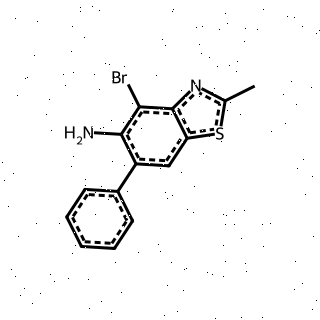 Cc1nc2c(Br)c(N)c(-c3ccccc3)cc2s1